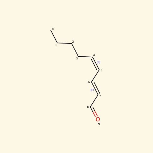 CCCC/C=C\C=C\C=O